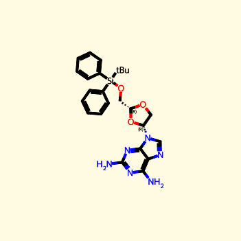 CC(C)(C)[Si](OC[C@@H]1OC[C@H](n2cnc3c(N)nc(N)nc32)O1)(c1ccccc1)c1ccccc1